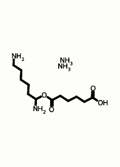 N.N.NCCCCCC(N)OC(=O)CCCCC(=O)O